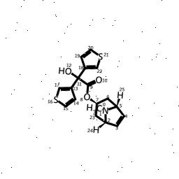 CN1[C@@H]2C=C[C@H]1C[C@H](OC(=O)C(O)(c1ccsc1)c1ccsc1)C2